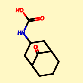 O=C(O)NC1CC2CCCC(C1)C2=O